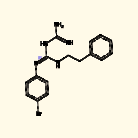 N=C(N)N/C(=N/c1ccc(Br)cc1)NCCc1ccccc1